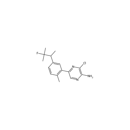 Cc1ccc(C(C)C(C)(C)F)cc1-c1cnc(N)c(Cl)n1